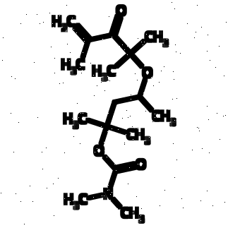 C=C(C)C(=O)C(C)(C)OC(C)CC(C)(C)OC(=O)N(C)C